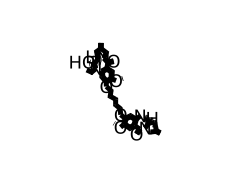 C=C1C[C@H]2C=Nc3cc(OCCCCCOc4cc5c(cc4OC)C(=O)N4CC(=C)C[C@H]4[C@H](O)N5CC)c(OC)cc3C(=O)N2C1